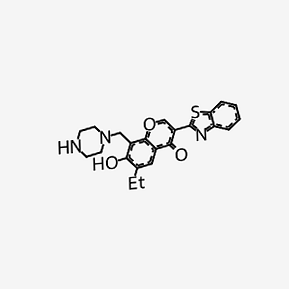 CCc1cc2c(=O)c(-c3nc4ccccc4s3)coc2c(CN2CCNCC2)c1O